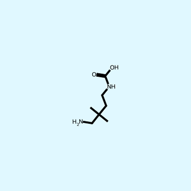 CC(C)(CN)CCNC(=O)O